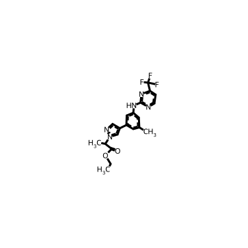 CCOC(=O)C(C)n1cc(-c2cc(C)cc(Nc3nccc(C(F)(F)F)n3)c2)cn1